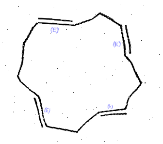 [CH]1/C=C/C/C=C/CC/C=C/C/C=C/1